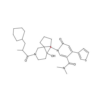 CC(CC1CCCCC1)C(=O)N1CCC(O)(Cn2cc(C(=O)N(C)C)c(-c3ccsc3)cc2=O)C2(CCCC2)C1